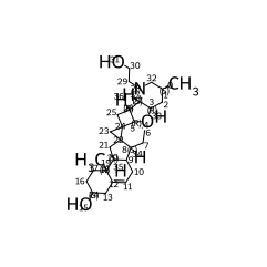 C[C@H]1C[C@H]2O[C@@]34CC[C@H]5C6CC=C7C[C@@H](O)CC[C@]7(C)[C@H]6CC56CC63C[C@@H]4[C@@H]2N(CCO)C1